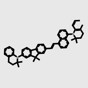 C/C=C\C1=C(C)CCC(C)(C)N1c1cccc2c(/C=C/c3ccc4c(c3)C(C)(C)c3cc(N5c6ccccc6CCC5(C)C)ccc3-4)cccc12